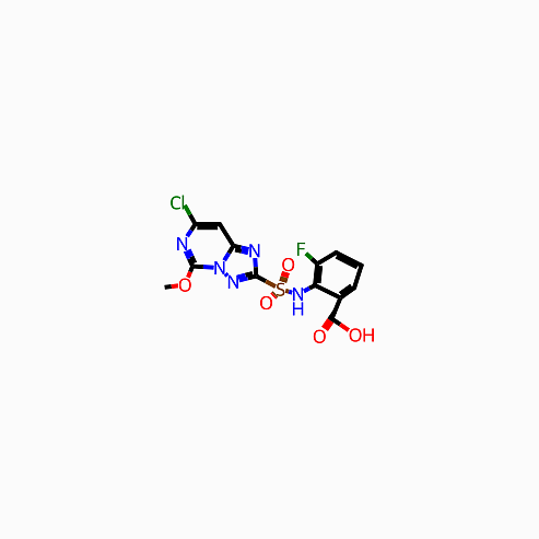 COc1nc(Cl)cc2nc(S(=O)(=O)Nc3c(F)cccc3C(=O)O)nn12